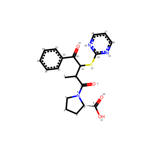 CC(C(=O)N1CCC[C@H]1C(=O)O)C(Sc1ncccn1)C(=O)c1ccccc1